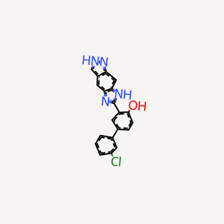 Oc1ccc(-c2cccc(Cl)c2)cc1-c1nc2cc3c[nH]nc3cc2[nH]1